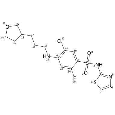 O=S(=O)(Nc1nccs1)c1cc(Cl)c(NCCCC2CCOC2)cc1F